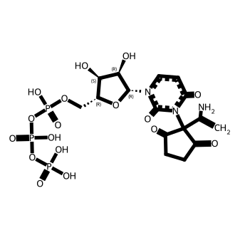 C=C(N)C1(n2c(=O)ccn([C@@H]3O[C@H](COP(=O)(O)OP(=O)(O)OP(=O)(O)O)[C@@H](O)[C@H]3O)c2=O)C(=O)CCC1=O